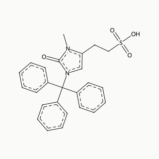 Cn1c(CCS(=O)(=O)O)cn(C(c2ccccc2)(c2ccccc2)c2ccccc2)c1=O